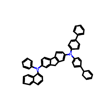 C1=CCC(c2ccc(N(c3ccc(-c4ccccc4)cc3)c3ccc4c(c3)Cc3cc(N(c5ccccc5)c5cccc6ccccc56)ccc3-4)cc2)C=C1